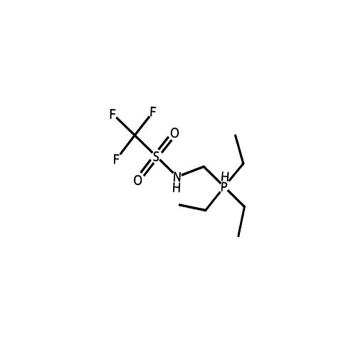 CC[PH](CC)(CC)CNS(=O)(=O)C(F)(F)F